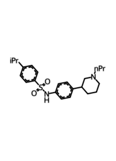 CCCN1CCCC(c2ccc(NS(=O)(=O)c3ccc(C(C)C)cc3)cc2)C1